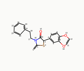 C=C1SC(c2ccc3c(c2)OC=CO3)C(=O)N1CCc1ccccc1